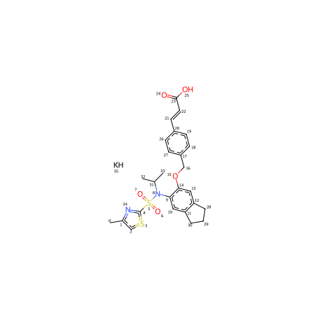 Cc1csc(S(=O)(=O)N(c2cc3c(cc2OCc2ccc(C=CC(=O)O)cc2)CCC3)C(C)C)n1.[KH]